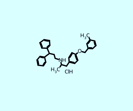 Cc1cccc(COc2ccc(CC(C)NCCC(c3ccccc3)c3ccccc3)cc2)c1.Cl